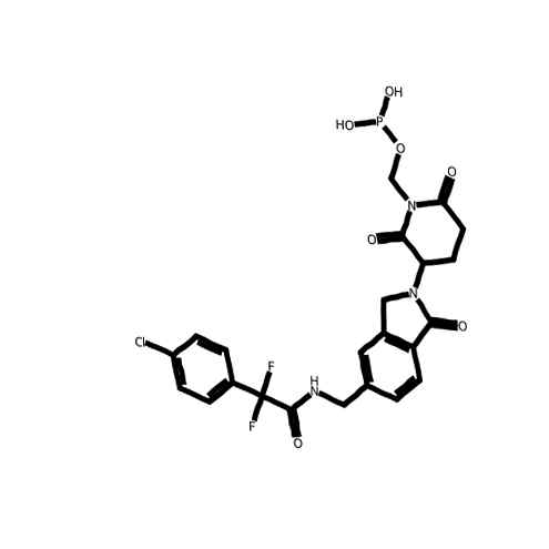 O=C1CCC(N2Cc3cc(CNC(=O)C(F)(F)c4ccc(Cl)cc4)ccc3C2=O)C(=O)N1COP(O)O